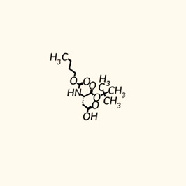 CCCCOC(=O)N[C@@H](CC(=O)O)C(=O)OC(C)(C)C